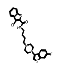 O=C(NCCCCN1CCN(c2csc3cc(F)ccc23)CC1)c1sc2ccccc2c1Cl